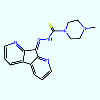 CN1CCN(C(=S)NN=C2c3ncccc3-c3cccnc32)CC1